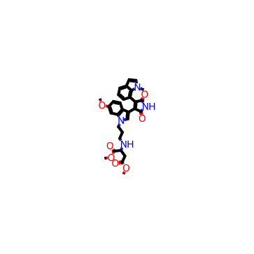 COC(=O)CC(NCCCn1cc(C2=C(c3cccc4ccn(C)c34)C(=O)NC2=O)c2ccc(OC)cc21)C(=O)OC